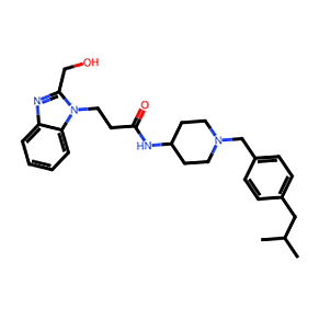 CC(C)Cc1ccc(CN2CCC(NC(=O)CCn3c(CO)nc4ccccc43)CC2)cc1